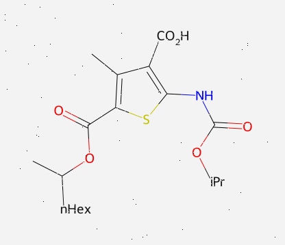 CCCCCCC(C)OC(=O)c1sc(NC(=O)OC(C)C)c(C(=O)O)c1C